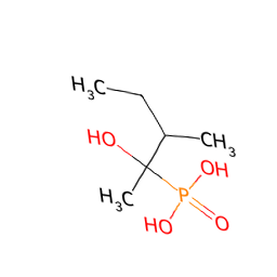 CCC(C)C(C)(O)P(=O)(O)O